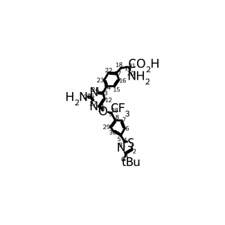 CC(C)(C)c1csc(-c2ccc(C(Oc3cc(-c4ccc(CC(N)C(=O)O)cc4)nc(N)n3)C(F)(F)F)cc2)n1